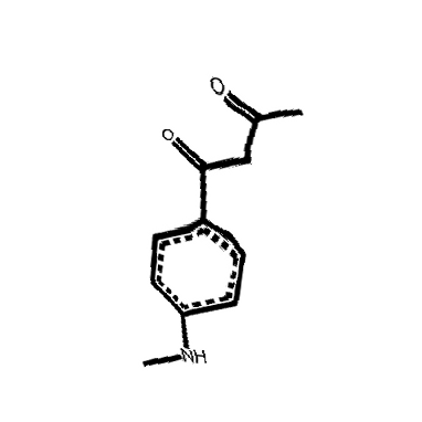 CNc1ccc(C(=O)CC(C)=O)cc1